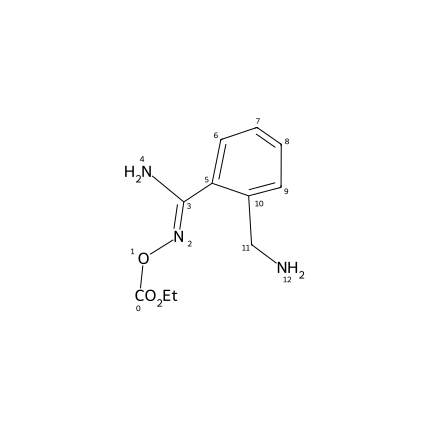 CCOC(=O)ON=C(N)c1ccccc1CN